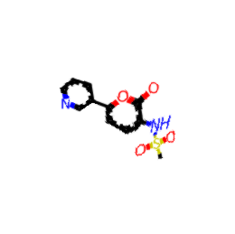 CS(=O)(=O)Nc1ccc(-c2cccnc2)oc1=O